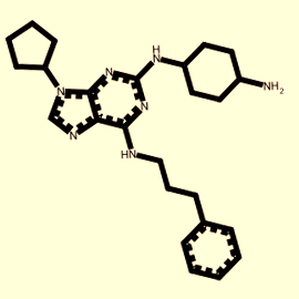 NC1CCC(Nc2nc(NCCCc3ccccc3)c3ncn(C4CCCC4)c3n2)CC1